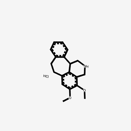 COc1cc2c3c(c1OC)CNCC3c1ccccc1CC2.Cl